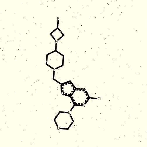 FC1CN(C2CCN(Cc3cc4nc(Cl)nc(N5CCOCC5)c4s3)CC2)C1